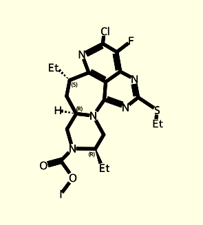 CCSc1nc2c3c(nc(Cl)c(F)c3n1)[C@@H](CC)C[C@@H]1CN(C(=O)OI)[C@H](CC)CN21